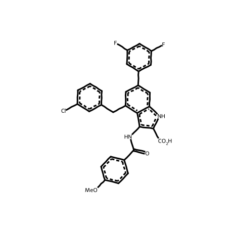 COc1ccc(C(=O)Nc2c(C(=O)O)[nH]c3cc(-c4cc(F)cc(F)c4)cc(Cc4cccc(Cl)c4)c23)cc1